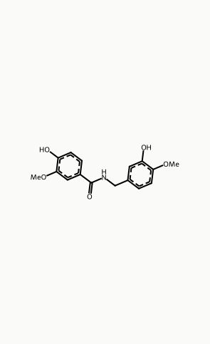 COc1ccc(CNC(=O)c2ccc(O)c(OC)c2)cc1O